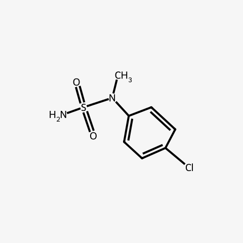 CN(c1ccc(Cl)cc1)S(N)(=O)=O